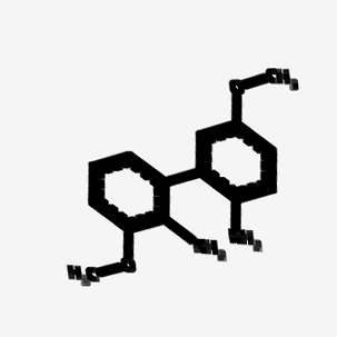 COc1ccc(N)c(-c2cccc(OC)c2N)c1